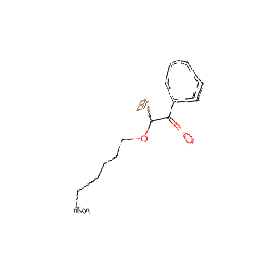 CCCCCCCCCCCCCCOC(Br)C(=O)c1ccccc1